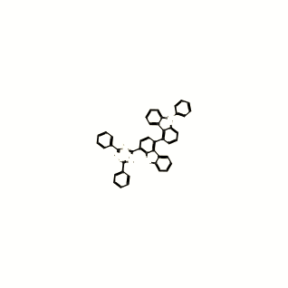 c1ccc(-c2nc(-c3ccccc3)nc(-c3ccc(-c4cccc5c4c4ccccc4n5-c4ccccc4)c4c3sc3ccccc34)n2)cc1